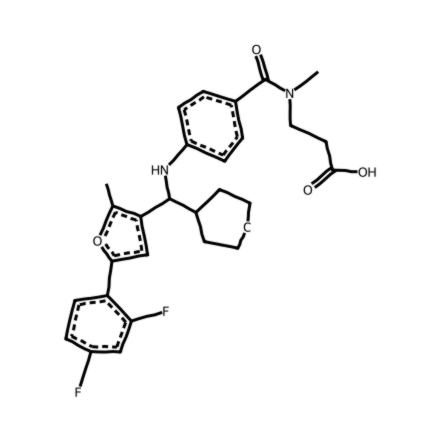 Cc1oc(-c2ccc(F)cc2F)cc1C(Nc1ccc(C(=O)N(C)CCC(=O)O)cc1)C1CCCCC1